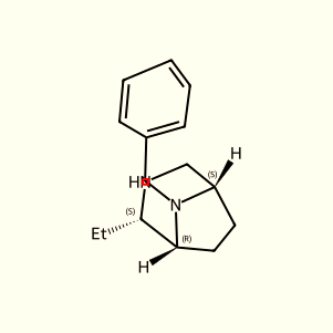 CC[C@@H]1NC[C@@H]2CC[C@H]1N2Cc1ccccc1